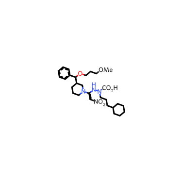 COCCCOC(c1ccccc1)C1CCCN(C(=C[N+](=O)[O-])NN(CCCC2CCCCC2)C(=O)O)C1